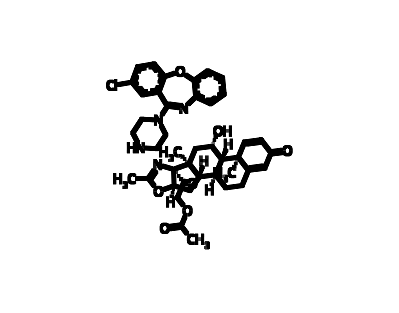 CC(=O)OCC(=O)[C@@]12N=C(C)O[C@@H]1C[C@H]1[C@@H]3CCC4=CC(=O)C=C[C@]4(C)[C@H]3[C@@H](O)C[C@@]12C.Clc1ccc2c(c1)C(N1CCNCC1)=Nc1ccccc1O2